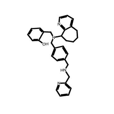 Oc1ccccc1CN(Cc1ccc(CNCc2ccccn2)cc1)C1CCCCc2cccnc21